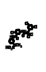 CN(C(=O)O)c1cccc(NC(=O)c2cc(NC(=O)C3C(c4cc(Cl)cc(Cl)c4)C3(Cl)Cl)ccc2Cl)c1